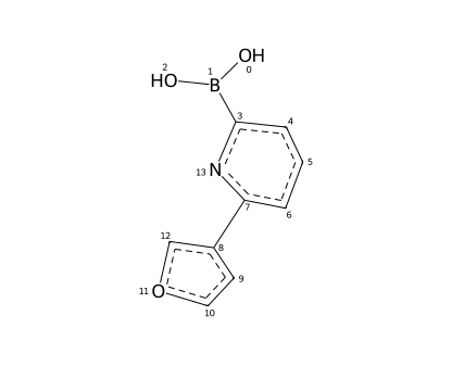 OB(O)c1cccc(-c2ccoc2)n1